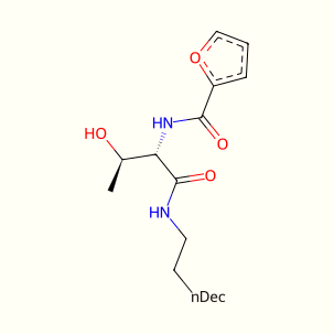 CCCCCCCCCCCCNC(=O)[C@@H](NC(=O)c1ccco1)[C@@H](C)O